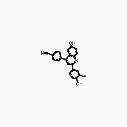 N#Cc1ccc(-c2cc(-c3ccc(O)c(F)c3)nc3ccc(O)cc23)cc1